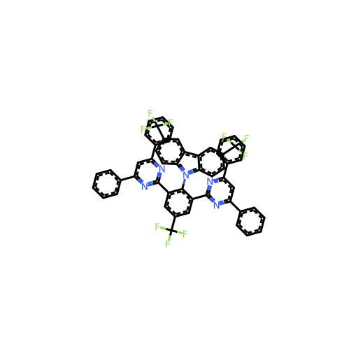 FC(F)(F)c1cc(-c2nc(-c3ccccc3)cc(-c3ccccc3)n2)c(-n2c3ccc(C(F)(F)F)cc3c3cc(C(F)(F)F)ccc32)c(-c2nc(-c3ccccc3)cc(-c3ccccc3)n2)c1